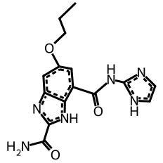 CCCOc1cc(C(=O)Nc2ncc[nH]2)c2[nH]c(C(N)=O)nc2c1